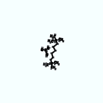 C[N+](C)(C)CCCCCC[N+](C)(C)C.O=[Si]([O-])[O-]